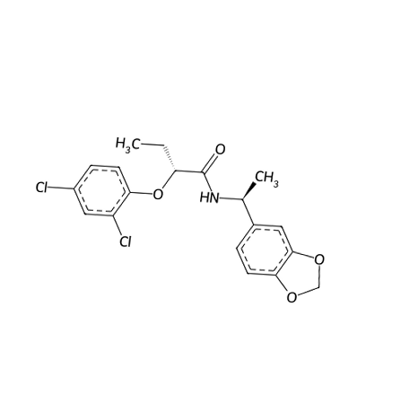 CC[C@@H](Oc1ccc(Cl)cc1Cl)C(=O)N[C@@H](C)c1ccc2c(c1)OCO2